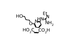 CC/N=C(/N)Nc1cccc(OCCCO)n1.O=C(O)/C=C\C(=O)O